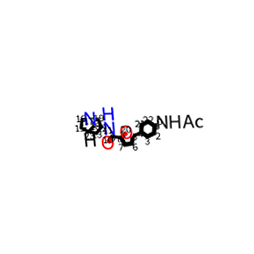 CC(=O)Nc1ccc(-c2ccc(C(=O)N[C@@H]3C[C@@H]4CCN(C4)C3)o2)cc1